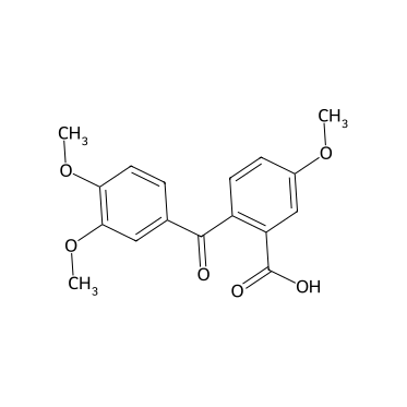 COc1ccc(C(=O)c2ccc(OC)c(OC)c2)c(C(=O)O)c1